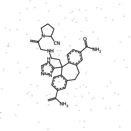 C=C(N)c1ccc2c(c1)CCc1cc(C(N)=O)ccc1C2(CCNCC(=C)N1CCCC1C#N)c1nnc[nH]1